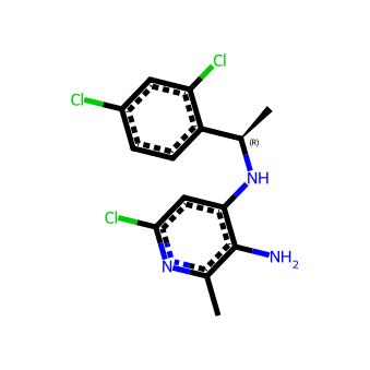 Cc1nc(Cl)cc(N[C@H](C)c2ccc(Cl)cc2Cl)c1N